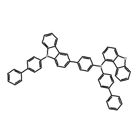 c1ccc(-c2ccc(N(c3ccc(-c4ccc5c(c4)c4ccccc4n5-c4ccc(-c5ccccc5)cc4)cc3)c3cccc4oc5ccccc5c34)cc2)cc1